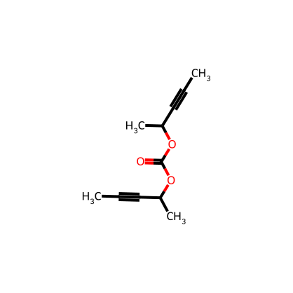 CC#CC(C)OC(=O)OC(C)C#CC